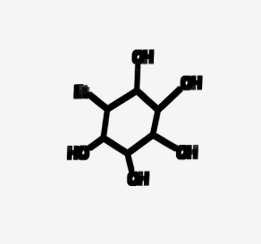 CCC1C(O)C(O)C(O)C(O)C1O